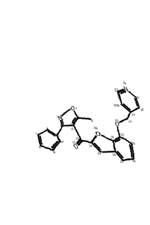 Cc1onc(-c2ccccc2)c1C(=O)c1cc2cccc(OCc3ccncc3)c2o1